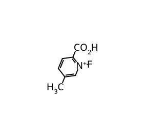 Cc1ccc(C(=O)O)[n+](F)c1